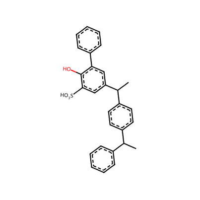 CC(c1ccccc1)c1ccc(C(C)c2cc(-c3ccccc3)c(O)c(S(=O)(=O)O)c2)cc1